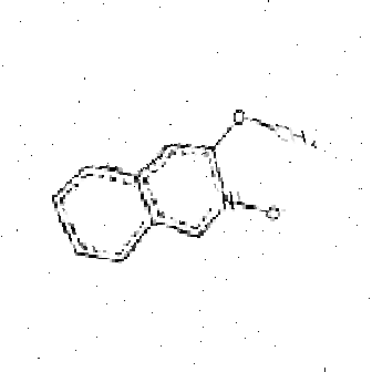 COc1cc2ccccc2c[n+]1[O-]